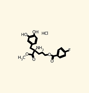 COC(=O)[C@](N)(CCCOC(=O)c1ccc(F)cc1)Cc1ccc(O)c(O)c1.Cl